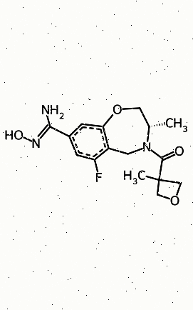 C[C@H]1COc2cc(C(N)=NO)cc(F)c2CN1C(=O)C1(C)COC1